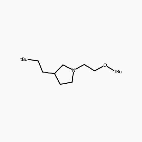 CC(C)(C)CCC1CCN(CCOC(C)(C)C)C1